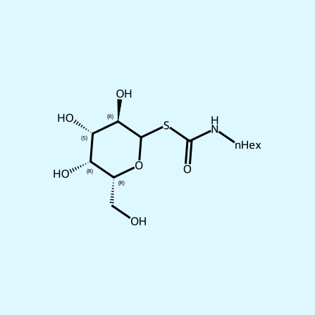 CCCCCCNC(=O)SC1O[C@H](CO)[C@H](O)[C@H](O)[C@H]1O